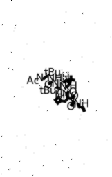 C=CCNC(=O)C(=O)C(CC1CCC1)NC(=O)[C@@H]1[C@@H]2[C@H](CN1C(=O)[C@@H](NC(=O)N[C@H](CN(C)C(C)=O)C(C)(C)C)C(C)(C)C)C2(C)C